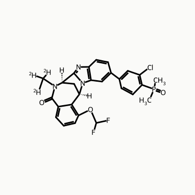 [2H]C([2H])([2H])N1C(=O)c2cccc(OC(F)F)c2[C@H]2C[C@@H]1c1nc3ccc(-c4ccc(P(C)(C)=O)c(Cl)c4)cc3n12